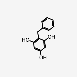 Oc1cc(O)c(Cc2ccccc2)c(O)c1